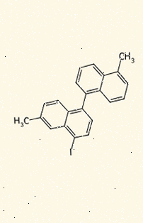 Cc1ccc2c(-c3cccc4c(C)cccc34)ccc(I)c2c1